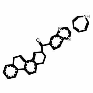 C1=CC=CNC=C1.O=C(c1ccc2nccnc2c1)C1C=c2c(ccc3c2=CCc2ccccc2-3)CC1